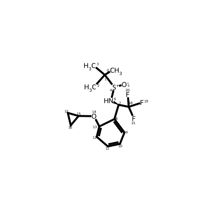 CC(C)(C)[S+]([O-])N[C@H](c1ccccc1OC1CC1)C(F)(F)F